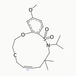 COc1ccc2c(c1)OCCCC/C=C\CC(C)(C)CN(C(C)C)S2(=O)=O